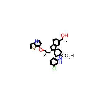 C[C@@H](COc1ccnc2ccsc12)C[C@@H]1Cc2ccc([C@@H](C)O)cc2C12CCC(Nc1cccc(Cl)c1)(C(=O)O)CC2